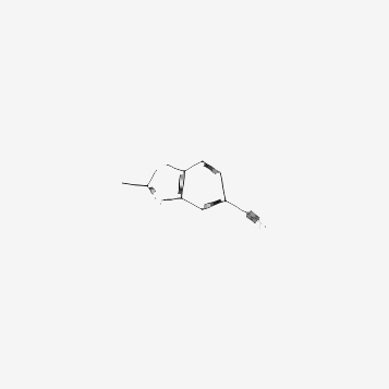 Cc1nc2cc(C#N)ccc2s1